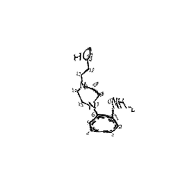 Nc1ccccc1N1CCN(CCO)CC1